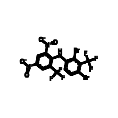 O=[N+]([O-])c1cc([N+](=O)[O-])c(Nc2ccc(Br)c(C(F)(F)F)c2Br)c(C(F)(F)F)c1